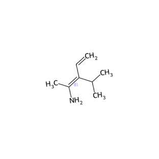 C=C/C(=C(\C)N)C(C)C